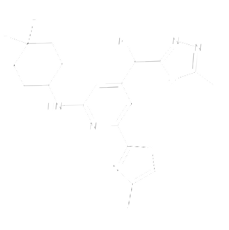 Cc1csc(-c2cc(C(O)c3nnc(C)o3)cc(NC3CCC(F)(F)CC3)n2)n1